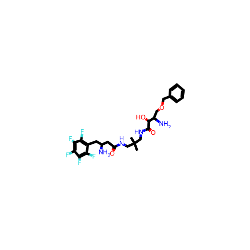 CC(C)(CNC(=O)CC(N)Cc1c(F)c(F)c(F)c(F)c1F)CNC(=O)C(O)C(N)COCc1ccccc1